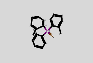 Cc1ccccc1P(=S)(c1ccccc1)c1ccccc1C